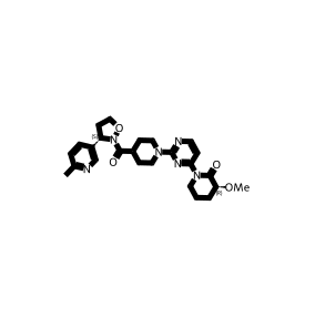 CO[C@@H]1CCCN(c2ccnc(N3CCC(C(=O)N4OCC[C@H]4c4ccc(C)nc4)CC3)n2)C1=O